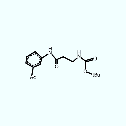 CC(=O)c1cccc(NC(=O)CCNC(=O)OC(C)(C)C)c1